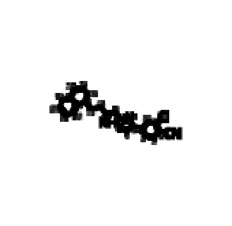 N#Cc1ccc(-c2ccn(C[C@H](N)CCc3cccc4ccccc34)n2)cc1Cl